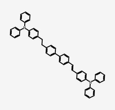 C(=C\c1ccc(N(c2ccccc2)c2ccccc2)cc1)/c1ccc(-c2ccc(CCc3ccc(N(c4ccccc4)c4ccccc4)cc3)cc2)cc1